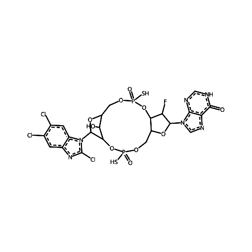 O=c1[nH]cnc2c1ncn2C1OC2COP(=O)(S)OC3C(O)C(COP(=O)(S)OC2C1F)OC3n1c(Cl)nc2cc(Cl)c(Cl)cc21